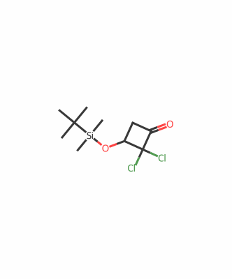 CC(C)(C)[Si](C)(C)OC1CC(=O)C1(Cl)Cl